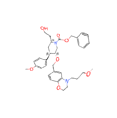 COCCCN1CCOc2ccc(CO[C@H]3CN(C(=O)OCc4ccccc4)[C@H](CCO)C[C@@H]3c3ccc(OC)cc3)cc21